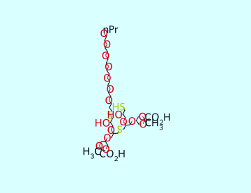 CCCOCCOCCOCCOCCOCCOCCOCCCSCC(O)COC(COC1COC(C)(C(=O)O)OC1)CSCC(COC1COC(C)(C(=O)O)OC1)OCC(O)CS